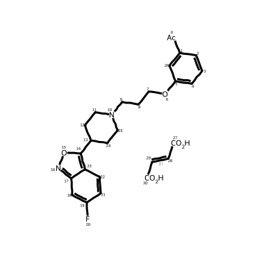 CC(=O)c1cccc(OCCCN2CCC(c3onc4cc(F)ccc34)CC2)c1.O=C(O)/C=C/C(=O)O